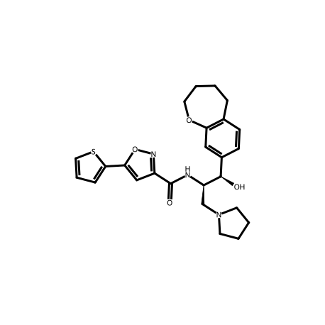 O=C(N[C@H](CN1CCCC1)[C@H](O)c1ccc2c(c1)OCCCC2)c1cc(-c2cccs2)on1